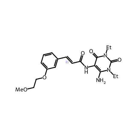 CCn1c(N)c(NC(=O)/C=C/c2cccc(OCCOC)c2)c(=O)n(CC)c1=O